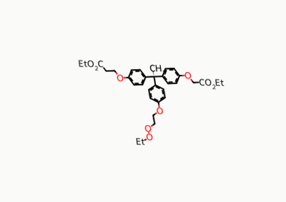 CCOOCCOc1ccc([C@@](C)(c2ccc(OCCC(=O)OCC)cc2)c2ccc(OCC(=O)OCC)cc2)cc1